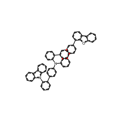 c1ccc(-c2ccccc2N(c2ccc(-c3ccccc3-n3c4ccccc4c4ccccc43)cc2)c2cccc(-c3ccc(-c4cccc5c4oc4ccccc45)cc3)c2)cc1